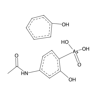 CC(=O)Nc1ccc([As](=O)(O)O)c(O)c1.Oc1ccccc1